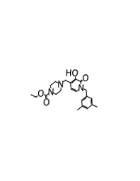 CCOC(=O)N1CCN(Cc2ccn(Cc3cc(C)cc(C)c3)c(=O)c2O)CC1